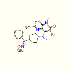 CN(c1c(Br)c(=O)n(C)c2ccc(C#N)nc12)C1CCC(/C(=N/OC(C)(C)C)c2ccccc2)CC1